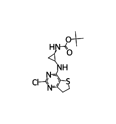 CC(C)(C)OC(=O)N[C@@H]1CC1Nc1nc(Cl)nc2c1SCC2